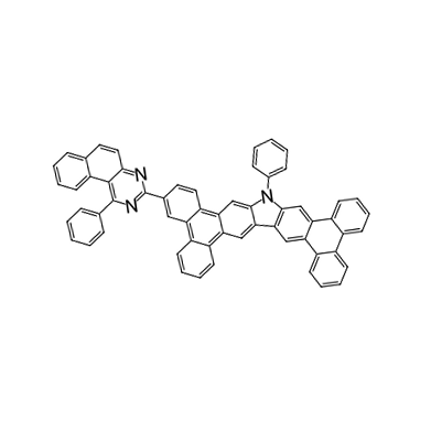 c1ccc(-c2nc(-c3ccc4c(c3)c3ccccc3c3cc5c6cc7c8ccccc8c8ccccc8c7cc6n(-c6ccccc6)c5cc43)nc3ccc4ccccc4c23)cc1